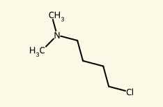 CN(C)CCCCCl